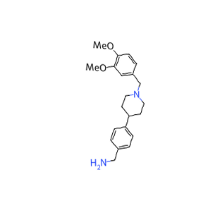 COc1ccc(CN2CCC(c3ccc(CN)cc3)CC2)cc1OC